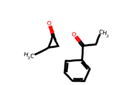 CC1CC1=O.CCC(=O)c1ccccc1